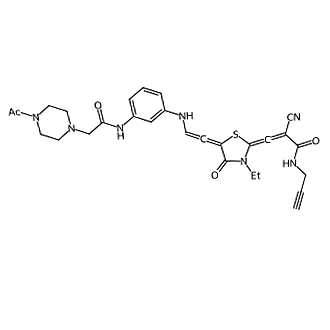 C#CCNC(=O)C(=C=c1sc(=C=CNc2cccc(NC(=O)CN3CCN(C(C)=O)CC3)c2)c(=O)n1CC)C#N